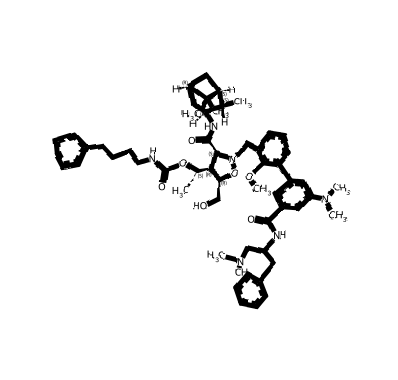 COc1c(CN2O[C@@H](CO)[C@@H]([C@H](C)OC(=O)NCCCCc3ccccc3)[C@H]2C(=O)N[C@H]2C[C@H]3C[C@@H]([C@@H]2C)C3(C)C)cccc1-c1cc(C(=O)NC(Cc2ccccc2)CN(C)C)cc(N(C)C)c1